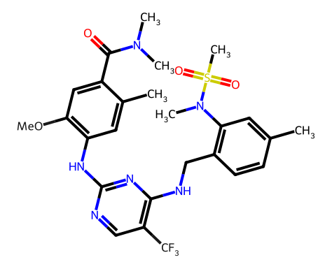 COc1cc(C(=O)N(C)C)c(C)cc1Nc1ncc(C(F)(F)F)c(NCc2ccc(C)cc2N(C)S(C)(=O)=O)n1